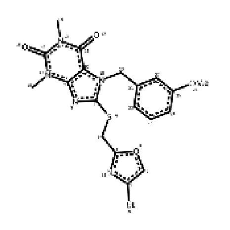 CCc1coc(CSc2nc3c(c(=O)n(C)c(=O)n3C)n2Cc2cccc(OC)c2)n1